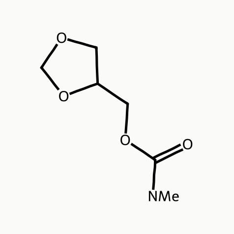 CNC(=O)OCC1COCO1